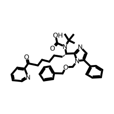 CC(C)(C)N(C(=O)O)[C@@H](CCCCCC(=O)c1ccccn1)c1ncc(-c2ccccc2)n1COCc1ccccc1